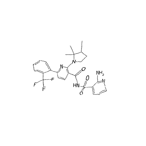 CC1CCN(c2nc(-c3ccccc3C(F)(F)F)ccc2C(=O)NS(=O)(=O)c2cccnc2N)C1(C)C